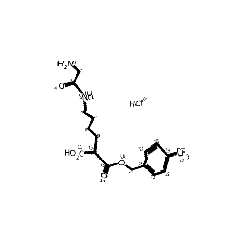 Cl.NCC(=O)NCCCCC(C(=O)O)C(=O)OCc1ccc(C(F)(F)F)cc1